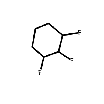 FC1C[CH]CC(F)C1F